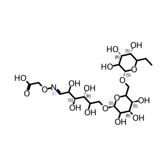 CCC1O[C@H](OCC2O[C@H](OCC(O)[C@@H](O)[C@@H](O)C(O)/C=N/OCC(=O)O)C(O)[C@H](O)[C@@H]2O)C(O)[C@H](O)[C@@H]1O